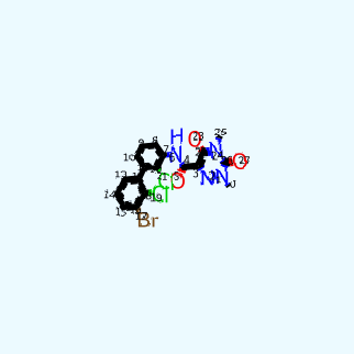 Cn1nc(C(=O)Nc2cccc(-c3cccc(Br)c3Cl)c2Cl)c(=O)n(C)c1=O